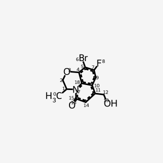 CC1COc2c(Br)c(F)cc3c(CO)cc(=O)n1c23